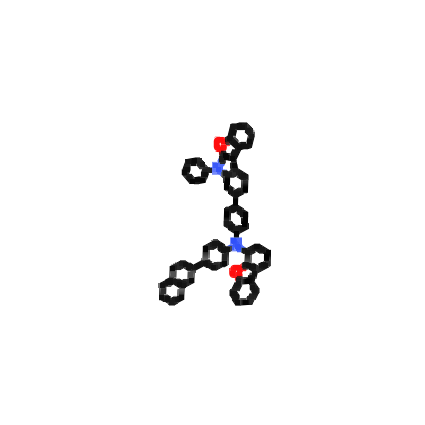 c1ccc(-n2c3cc(-c4ccc(N(c5ccc(-c6ccc7ccccc7c6)cc5)c5cccc6c5oc5ccccc56)cc4)ccc3c3c4ccccc4oc32)cc1